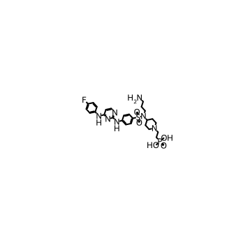 NCCCN(C1CCN(CCP(=O)(O)O)CC1)S(=O)(=O)c1ccc(Nc2nccc(Nc3ccc(F)cc3)n2)cc1